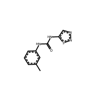 Cc1cccc(NC(=O)Nc2cnns2)c1